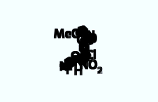 COc1cccc(-c2noc(C)c2C(=O)N2CCN(c3cc(NC(=O)c4ccc(N(C)C)c(F)c4)c([N+](=O)[O-])cc3Cl)CC2)c1